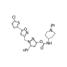 CCCc1cc(OC(=O)NC2CCN(C(C)C)CC2)nn1Cc1cc(-c2ccc(Cl)s2)on1